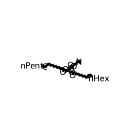 CCCCCC=C=C/C=C\CCCCCCCCC(=O)OCC(COC(=O)CCCCCCC/C=C\C/C=C\CCCCCC)COC(=O)OCCCN(C)C